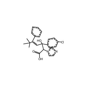 CC(C)(C)C(=CC(O)(c1ccc(Cl)cc1)C(C(=O)O)n1ccnc1)c1ccccc1